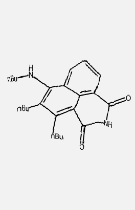 CCCCNc1c(CCCC)c(CCCC)c2c3c(cccc13)C(=O)NC2=O